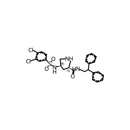 O=C(NCC(c1ccccc1)c1ccccc1)[C@@H]1CNC[C@H](NS(=O)(=O)c2ccc(Cl)c(Cl)c2)C1